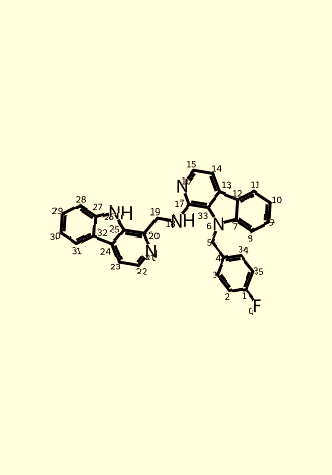 Fc1ccc(Cn2c3ccccc3c3ccnc(NCc4nccc5c4[nH]c4ccccc45)c32)cc1